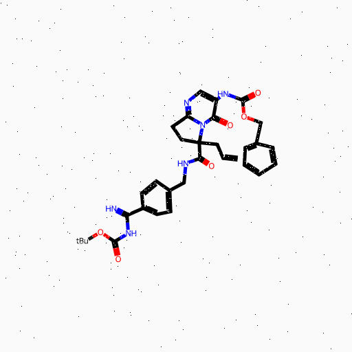 C=CCC1(C(=O)NCc2ccc(C(=N)NC(=O)OC(C)(C)C)cc2)CCc2ncc(NC(=O)OCc3ccccc3)c(=O)n21